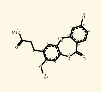 COC(=O)CCc1cc2c(cc1OC(F)(F)F)NC(=O)c1ccc(Cl)cc1N2